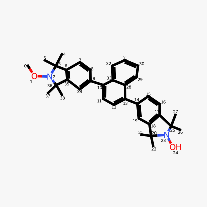 CON1C(C)(C)c2ccc(-c3ccc(-c4ccc5c(c4)C(C)(C)N(O)C5(C)C)c4ccccc34)cc2C1(C)C